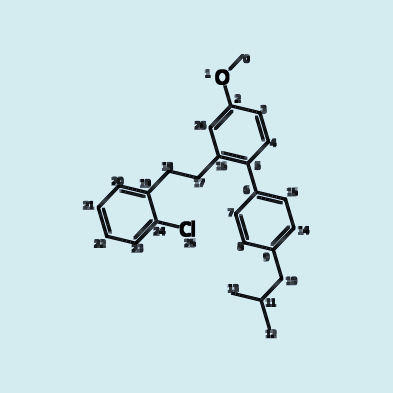 COc1ccc(-c2ccc(CC(C)C)cc2)c(CCc2ccccc2Cl)c1